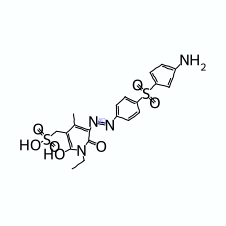 CCn1c(O)c(CS(=O)(=O)O)c(C)c(/N=N/c2ccc(S(=O)(=O)c3ccc(N)cc3)cc2)c1=O